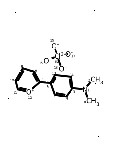 CN(C)c1ccc(-c2cccc[o+]2)cc1.[O-][Cl+3]([O-])([O-])[O-]